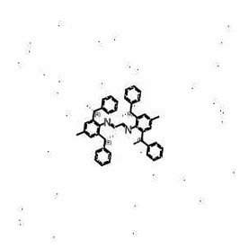 Cc1cc([C@H](C)c2ccccc2)c(N=CC=Nc2c([C@H](C)c3ccccc3)cc(C)cc2[C@H](C)c2ccccc2)c([C@H](C)c2ccccc2)c1